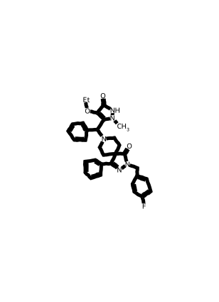 CCOc1c(C(c2ccccc2)N2CCC3(CC2)C(=O)N(Cc2ccc(F)cc2)N=C3c2ccccc2)n(C)[nH]c1=O